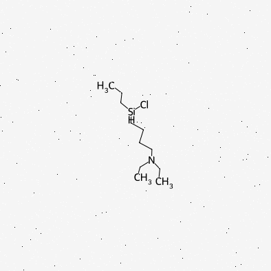 CCC[SiH](Cl)CCCCN(CC)CC